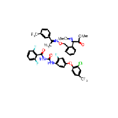 CO/N=C(/C(=O)OC)c1ccccc1CO/N=C(\C)c1cccc(C(F)(F)F)c1.O=C(NC(=O)c1c(F)cccc1F)Nc1ccc(Oc2ccc(C(F)(F)F)cc2Cl)cc1F